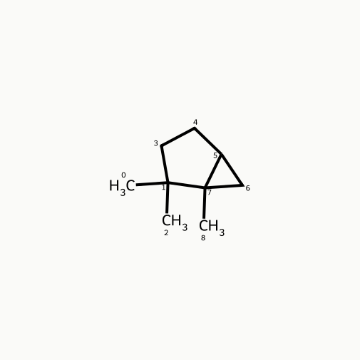 CC1(C)CCC2CC21C